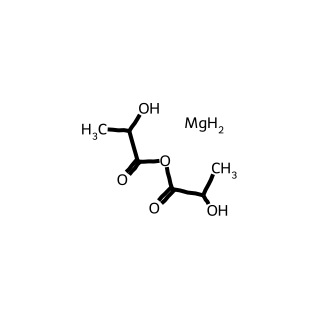 CC(O)C(=O)OC(=O)C(C)O.[MgH2]